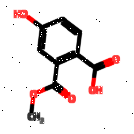 COC(=O)c1cc(O)ccc1C(=O)O